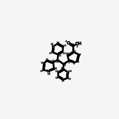 O=C(O)c1cccc(C(c2ccccn2)C(c2cccnc2)c2cccnc2)c1